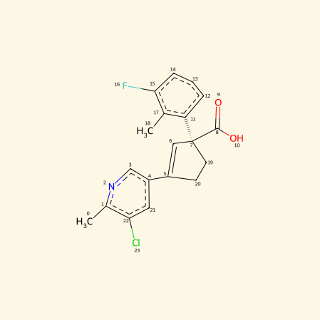 Cc1ncc(C2=C[C@](C(=O)O)(c3cccc(F)c3C)CC2)cc1Cl